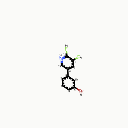 Fc1cc(-c2cc[c]c(Br)c2)cnc1F